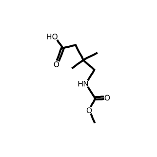 COC(=O)NCC(C)(C)CC(=O)O